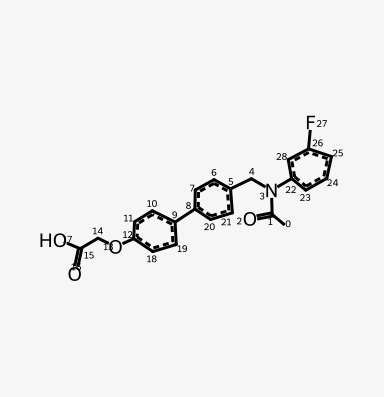 CC(=O)N(Cc1ccc(-c2ccc(OCC(=O)O)cc2)cc1)c1cccc(F)c1